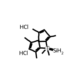 CC1=CC(C)=[C]([Ti]([CH3])([CH3])(=[SiH2])[C]2=C(C)C=C(C)C2)C1.Cl.Cl